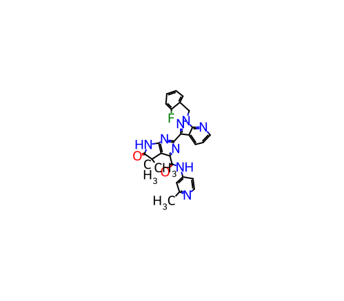 Cc1cc(NC(=O)c2nc(-c3nn(Cc4ccccc4F)c4ncccc34)nc3c2C(C)(C)C(=O)N3)ccn1